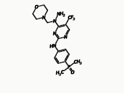 CP(C)(=O)c1ccc(Nc2ncc(C(F)(F)F)c(N(N)CN3CCOCC3)n2)cc1